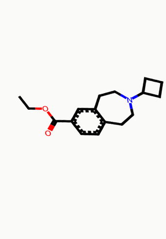 CCOC(=O)c1ccc2c(c1)CCN(C1CCC1)CC2